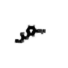 COC(=O)Oc1cccc(C(=O)O)c1